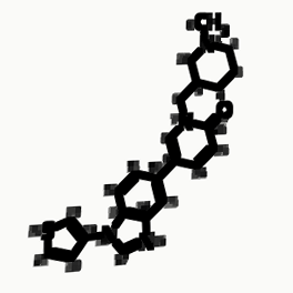 CN1CCCC(Cn2cc(-c3ccc4c(c3)ncn4-c3ccsc3)ccc2=O)C1